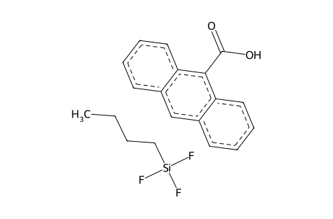 CCCC[Si](F)(F)F.O=C(O)c1c2ccccc2cc2ccccc12